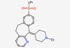 CCCS(=O)(=O)c1ccc2c(c1)CCc1cccnc1C2=C1CCN(CC)CC1